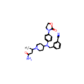 CC(CC(N)=O)N1CCC(N(Cc2cccc(C#N)c2)c2ccc(N3CCOC3=O)cc2)CC1